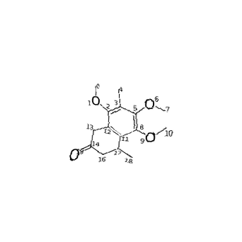 COc1c(C)c(OC)c(OC)c2c1CC(=O)CC2C